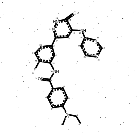 CCN(C)c1ccc(C(=O)Nc2cc(-c3cc(Nc4ccncn4)c(=O)[nH]n3)ccc2F)cc1